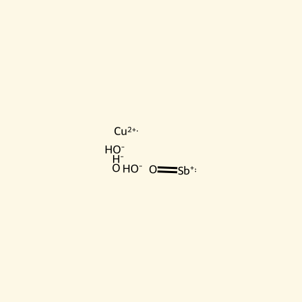 [Cu+2].[OH-].[OH-].[OH-].[O]=[Sb+]